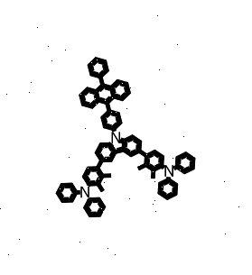 Cc1c(-c2ccc3c(c2)c2cc(-c4ccc(N(c5ccccc5)c5ccccc5)c(C)c4C)ccc2n3-c2ccc(-c3c4ccccc4c(-c4ccccc4)c4ccccc34)cc2)ccc(N(c2ccccc2)c2ccccc2)c1C